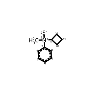 C[N+]([S-])(c1ccccc1)C1CCC1